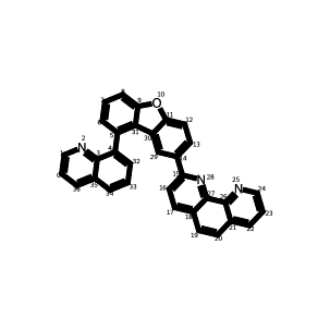 c1cnc2c(-c3cccc4oc5ccc(-c6ccc7ccc8cccnc8c7n6)cc5c34)cccc2c1